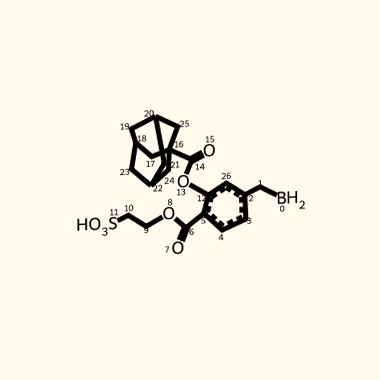 BCc1ccc(C(=O)OCCS(=O)(=O)O)c(OC(=O)C23CC4CC(CC(C4)C2)C3)c1